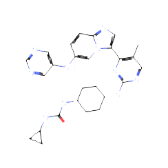 Cc1cnc(N[C@H]2CC[C@H](NC(=O)NC3CC3)CC2)nc1-c1cnc2ccc(Nc3cncnc3)cn12